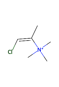 CC(=CCl)[N+](C)(C)C